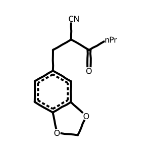 CCCC(=O)C(C#N)Cc1ccc2c(c1)OCO2